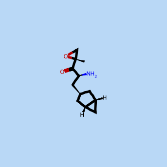 C[C@]1(C(=O)[C@@H](N)C[C@H]2C[C@@H]3C[C@@H]3C2)CO1